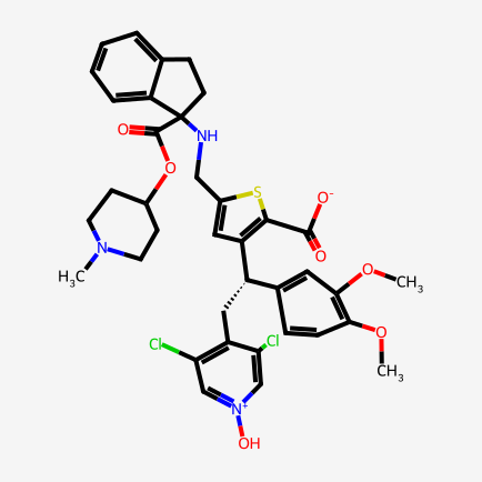 COc1ccc([C@H](Cc2c(Cl)c[n+](O)cc2Cl)c2cc(CNC3(C(=O)OC4CCN(C)CC4)CCc4ccccc43)sc2C(=O)[O-])cc1OC